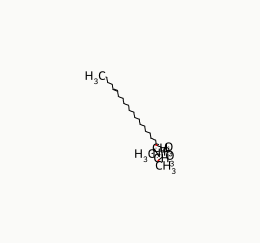 CCCCC=CCCCCCCCCCCCCCCCCC(CCC)(P(=O)=O)[N+](C)(C)C